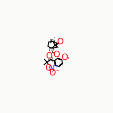 COc1ccc([N+](=O)[O-])c([C@@H](OC(=O)[C@@]23CC[C@@](C)(C(=O)C2)C3(C)C)C(C)(C)C)c1